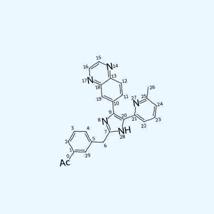 CC(=O)c1cccc(Cc2nc(-c3ccc4nccnc4c3)c(-c3cccc(C)n3)[nH]2)c1